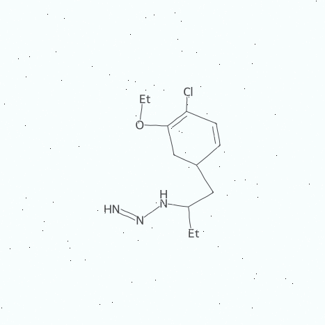 CCOC1=C(Cl)C=CC(CC(CC)NN=N)C1